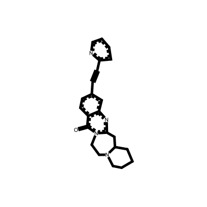 O=c1c2ccc(C#Cc3ccccn3)cc2nc2n1CCN1CCCCC1C2